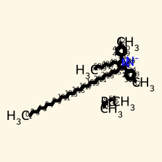 CCCCCCCCCCCCCCCCCCCCCCCCC=CC1=C(c2ccc(C)cc2)[N+](=[N-])C(c2ccc(C)cc2)=C1CCCCCC.C[CH2][Pd][CH2]C